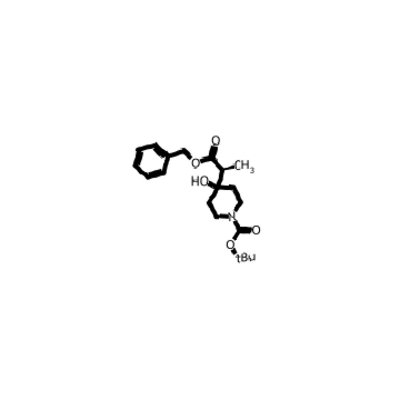 C[C@H](C(=O)OCc1ccccc1)C1(O)CCN(C(=O)OC(C)(C)C)CC1